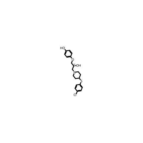 Oc1ccc(OC[C@@H](O)CN2CCC(Sc3ccc(Cl)cc3)CC2)cc1